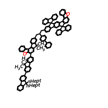 CCCCCCCC1(CCCCCCC)c2ccccc2-c2ccc(-c3ccc4c(c3)C(C)(C)c3cc(-c5cc6c(c7c5oc5ccccc57)-c5ccc(CC(Cc7ccc8c(c7)C7(c9ccccc9-c9ccccc97)c7cc9c(cc7-8)C7(c8ccccc8-c8ccccc87)c7ccc8oc%10ccccc%10c8c7-9)c7ccc(-c8ccccc8)cc7)cc5C6(C)C)ccc3-4)cc21